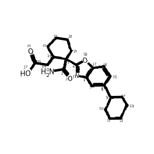 NC(=O)C1(c2nc3cc(C4CCCCC4)ccc3o2)CCCCC1CC(=O)O